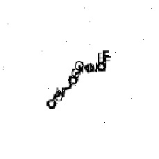 O=C(COc1ccc(CCC=NOCc2ccccc2)cc1)N1CCN(c2cccc(C(F)(F)F)c2)CC1